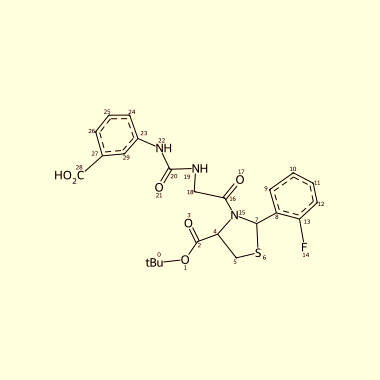 CC(C)(C)OC(=O)C1CSC(c2ccccc2F)N1C(=O)CNC(=O)Nc1cccc(C(=O)O)c1